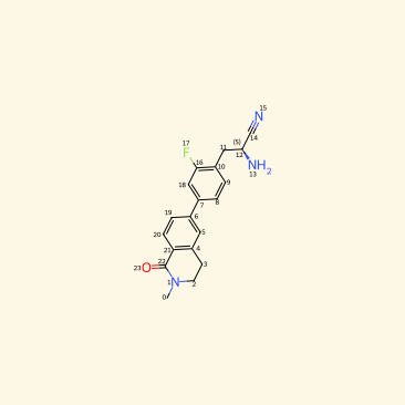 CN1CCc2cc(-c3ccc(C[C@H](N)C#N)c(F)c3)ccc2C1=O